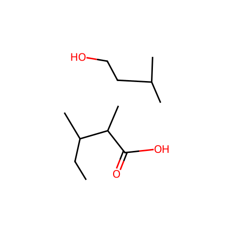 CC(C)CCO.CCC(C)C(C)C(=O)O